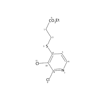 CCOC(=O)CCSc1ccnc(Cl)c1Cl